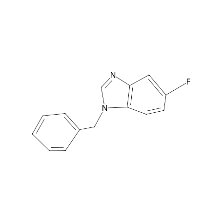 Fc1ccc2c(c1)ncn2Cc1ccccc1